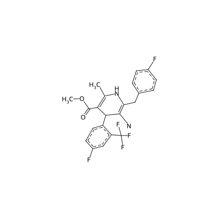 COC(=O)C1=C(C)NC(Cc2ccc(F)cc2)=C(C#N)C1c1ccc(F)cc1C(F)(F)F